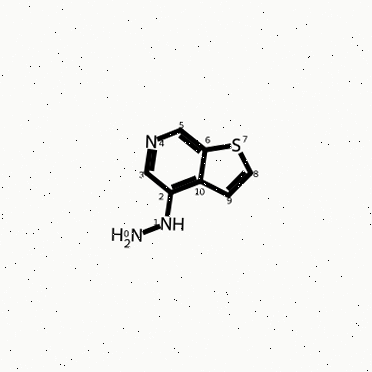 NNc1cncc2sccc12